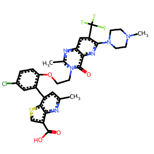 Cc1cc(-c2cc(Cl)ccc2OCCn2c(C)nc3cc(C(F)(F)F)c(N4CCN(C)CC4)nc3c2=O)c2scc(C(=O)O)c2n1